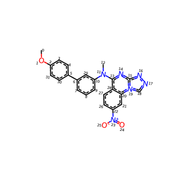 COc1ccc(-c2cccc(N(C)c3nc4nncn4c4cc([N+](=O)[O-])ccc34)c2)cc1